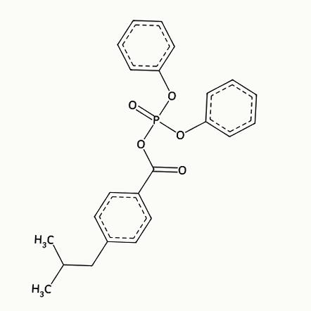 CC(C)Cc1ccc(C(=O)OP(=O)(Oc2ccccc2)Oc2ccccc2)cc1